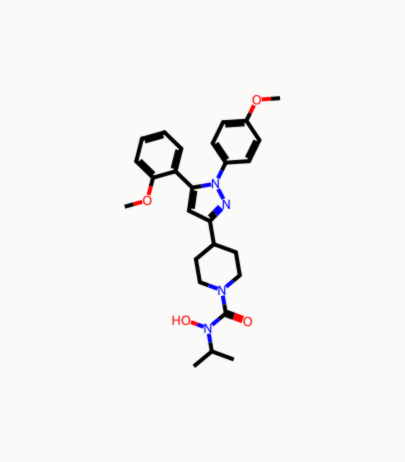 COc1ccc(-n2nc(C3CCN(C(=O)N(O)C(C)C)CC3)cc2-c2ccccc2OC)cc1